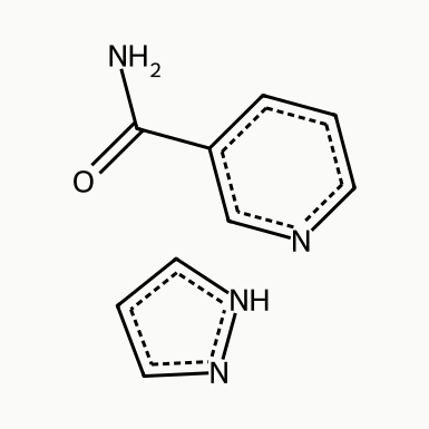 NC(=O)c1cccnc1.c1cn[nH]c1